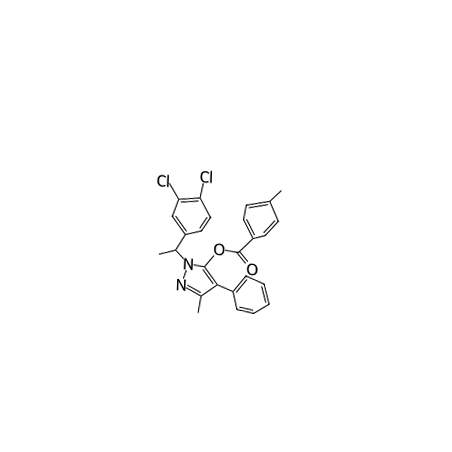 Cc1ccc(C(=O)Oc2c(-c3ccccc3)c(C)nn2C(C)c2ccc(Cl)c(Cl)c2)cc1